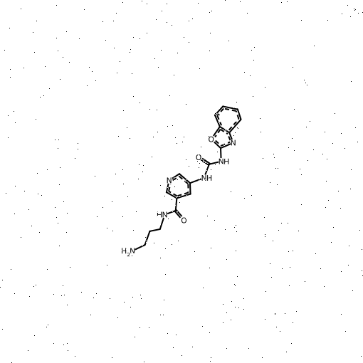 NCCCNC(=O)c1cncc(NC(=O)Nc2nc3ccccc3o2)c1